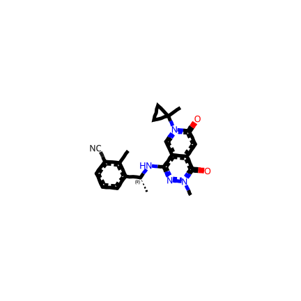 Cc1c(C#N)cccc1[C@@H](C)Nc1nn(C)c(=O)c2cc(=O)n(C3(C)CC3)cc12